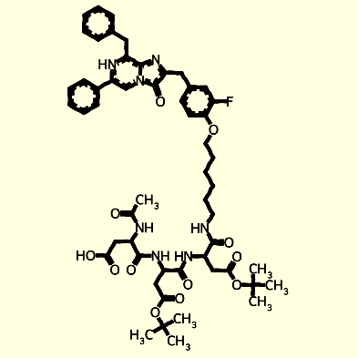 CC(=O)NC(CC(=O)O)C(=O)NC(CC(=O)OC(C)(C)C)C(=O)NC(CC(=O)OC(C)(C)C)C(=O)NCCCCCCOc1ccc(Cc2nc3c(Cc4ccccc4)[nH]c(-c4ccccc4)cn-3c2=O)cc1F